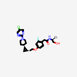 CC[C@@H](CO)NC(=O)Cc1ccc(OCC[C@@H]2C[C@@H]2C2CCN(c3ncc(Cl)cn3)CC2)cc1F